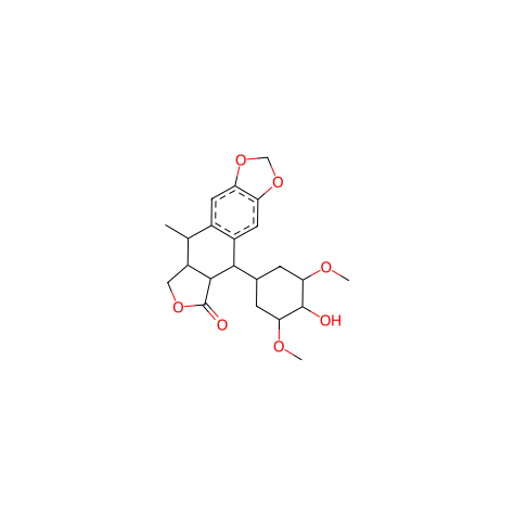 COC1CC(C2c3cc4c(cc3C(C)C3COC(=O)C32)OCO4)CC(OC)C1O